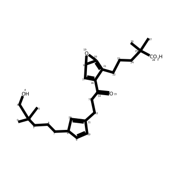 CC(C)(CO)CCCC1C=CC(CCC(=O)C2=CC3OC3=C2CCCC(C)(C)C(=O)O)=C1